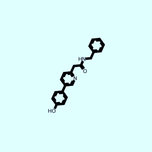 O=C(Cc1ccc(-c2ccc(O)cc2)cn1)NCc1ccccc1